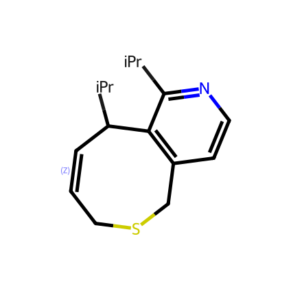 CC(C)c1nccc2c1C(C(C)C)/C=C\CSC2